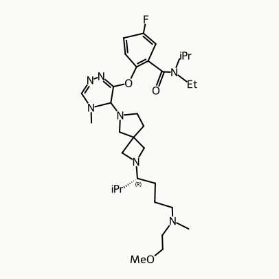 CCN(C(=O)c1cc(F)ccc1OC1=NN=CN(C)C1N1CCC2(C1)CN([C@H](CCCN(C)CCOC)C(C)C)C2)C(C)C